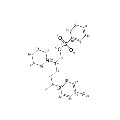 CC(CCC(COS(=O)(=O)c1ccccc1)N1CCCCC1)c1ccc(F)cc1